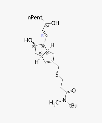 CCCCC[C@H](O)/C=C/[C@@H]1[C@H]2CC(CSCCC(=O)N(C)C(C)(C)C)=C[C@H]2C[C@H]1O